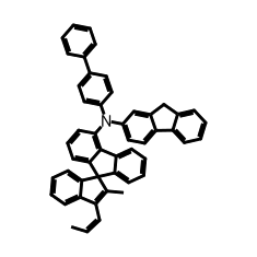 C/C=C\C1=C(C)C2(c3ccccc31)c1ccccc1-c1c(N(c3ccc(-c4ccccc4)cc3)c3ccc4c(c3)Cc3ccccc3-4)cccc12